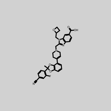 CC1(c2ccc(C#N)cc2F)Oc2cccc(C3=CCN(Cc4nc5ccc(C(=O)O)cc5n4CC4CCO4)CC3)c2O1